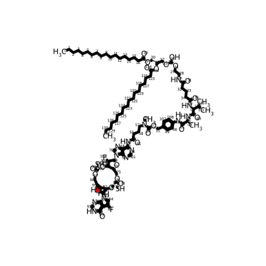 CCCCCCCCCCCCCCCCCC(=O)OC[C@H](COC(O)OCCNC(=O)CCCC(=O)N[C@H](C(=O)N[C@@H](C)C(=O)Nc1ccc(COC(=O)N(C)CCCC(=O)Nc2ncnc3c2ncn3[C@@H]2OC3CO[P@@](=O)(S)O[C@H]4C(n5cc(F)c6c(=O)[nH]cnc65)OC(CO[P@@](=O)(S)O[C@H]3[C@H]2F)[C@H]4O)cc1)C(C)C)OC(=O)CCCCCCCCCCCCCCCCC